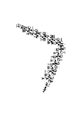 O=P(O)(O)O.O=P(O)(O)O.O=P(O)(O)O.O=P(O)(O)O.O=P(O)(O)O.O=P(O)(O)O.O=P(O)(O)O.O=P(O)(O)O.O=P(O)(O)O.O=P(O)(O)O.[O-2].[V+5].[V+5].[V+5].[V+5].[V+5].[V+5].[V+5].[V+5].[V+5].[V+5]